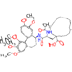 COc1cc2c(c(OC)c1OC)-c1ccc(OC)c(=O)cc1[C@@H](NC(=O)[C@H](CC1(C(=O)O)CCCCCCCCCCC1)NC(C)=O)CC2